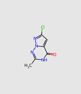 Cc1nn2nc(Cl)cc2c(=O)[nH]1